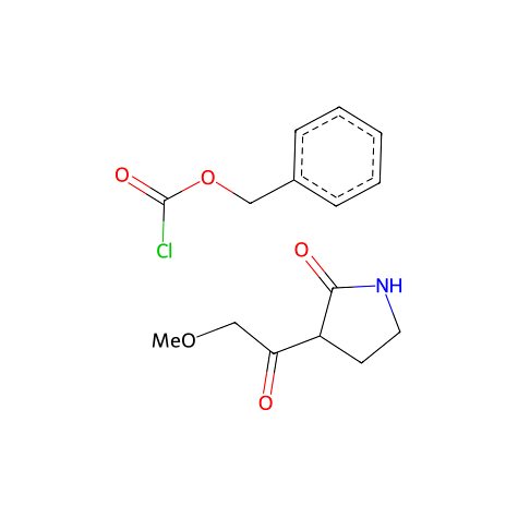 COCC(=O)C1CCNC1=O.O=C(Cl)OCc1ccccc1